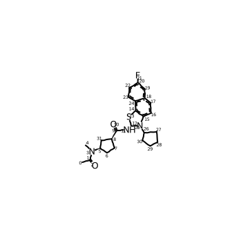 CC(=O)N(C)[C@@H]1CC[C@H](C(=O)NC2Sc3c(ccc4cc(F)ccc34)N2C2CCCC2)C1